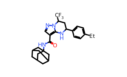 CCc1ccc(C2CC(C(F)(F)F)n3ncc(C(=O)NC45CC6CC(CC(C6)C4)C5)c3N2)cc1